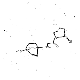 N#C[C@@H]1CCCN1C(=O)CNC12CCC(C(=O)O)(CC1)CC2